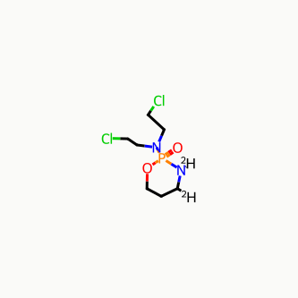 [2H]C1CCOP(=O)(N(CCCl)CCCl)N1[2H]